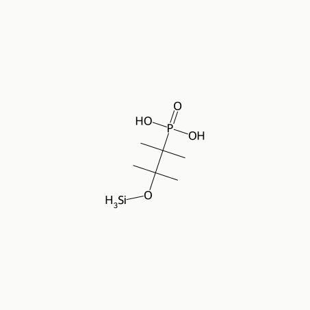 CC(C)(O[SiH3])C(C)(C)P(=O)(O)O